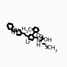 CSCC[C@H](NC(=O)c1ccc(CCC2=CNN(Oc3ccccc3)C=C2)cc1-c1ccccc1C)C(=O)O.[Li]